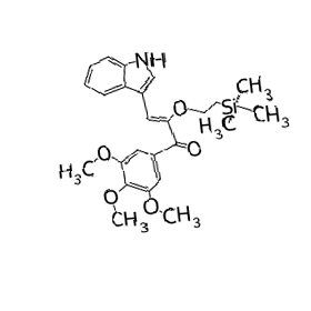 COc1cc(C(=O)C(=Cc2c[nH]c3ccccc23)OCC[Si](C)(C)C)cc(OC)c1OC